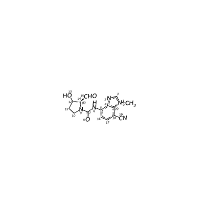 Cn1cnc2c(NC(=O)N3CCC(O)[C@H]3C=O)ccc(C#N)c21